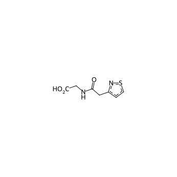 O=C(O)CNC(=O)Cc1ccsn1